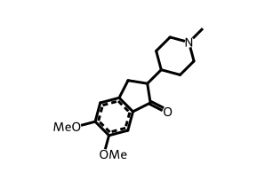 COc1cc2c(cc1OC)C(=O)C(C1CCN(C)CC1)C2